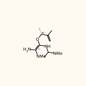 C=C(C)[C@@H](C)O/C(NC(C)NC)=C(\N)NC